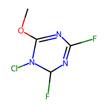 COC1=NC(F)=NC(F)N1Cl